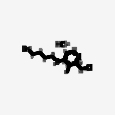 Cc1c(SCCCCBr)ccnc1CCl.Cl